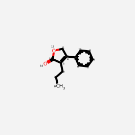 CCCC1=C(c2ccccc2)COC1=O